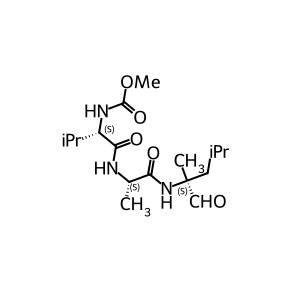 COC(=O)N[C@H](C(=O)N[C@@H](C)C(=O)N[C@](C)(C=O)CC(C)C)C(C)C